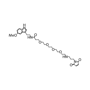 COc1ccc2[nH]cc(CCNC(=O)CCOCCOCCOCCOCCNCCCN3C(=O)C=CC3=O)c2c1